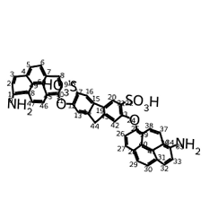 Nc1ccc2ccc3ccc(Oc4cc5c(cc4S(=O)(=O)O)-c4cc(S(=O)(=O)O)c(Oc6ccc7ccc8ccc(N)c9ccc6c7c89)cc4C5)c4ccc1c2c34